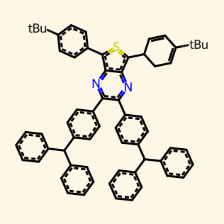 CC(C)(C)C1=CCC(c2sc(-c3ccc(C(C)(C)C)cc3)c3nc(-c4ccc(C(c5ccccc5)c5ccccc5)cc4)c(-c4ccc(C(c5ccccc5)c5ccccc5)cc4)nc23)C=C1